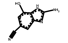 N#Cc1cc(O)c2[nH]c(N)nc2c1